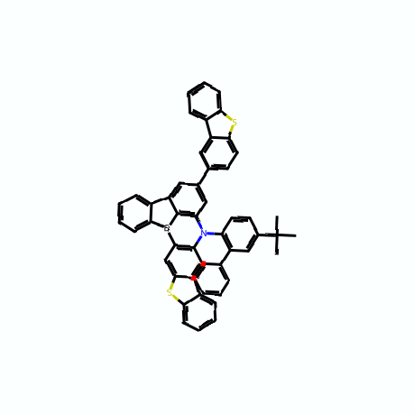 CC(C)(C)c1ccc(N2c3cc4c(cc3B3c5ccccc5-c5cc(-c6ccc7sc8ccccc8c7c6)cc2c53)sc2ccccc24)c(-c2ccccc2)c1